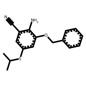 CC(C)Sc1cc(C#N)c(N)c(OCc2ccccc2)c1